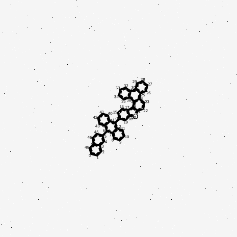 c1ccc2cc(-c3c4ccccc4c(-c4ccc5c(c4)oc4ccc6c7ccccc7c7ccccc7c6c45)c4ccccc34)ccc2c1